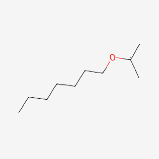 CCCCCCCO[C](C)C